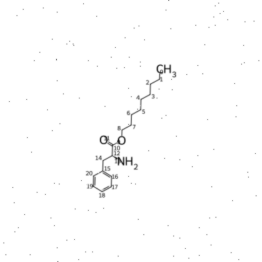 CCCCCCCCCOC(=O)[C@@H](N)Cc1ccccc1